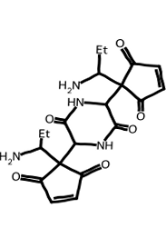 CCC(N)C1(C2NC(=O)C(C3(C(N)CC)C(=O)C=CC3=O)NC2=O)C(=O)C=CC1=O